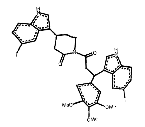 COc1cc(C(CC(=O)N2CCC(c3c[nH]c4ccc(I)cc34)CC2=O)c2c[nH]c3ccc(I)cc23)cc(OC)c1OC